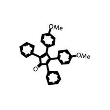 COc1ccc(C2=C(c3ccccc3)C(=O)C(c3ccccc3)=C2c2ccc(OC)cc2)cc1